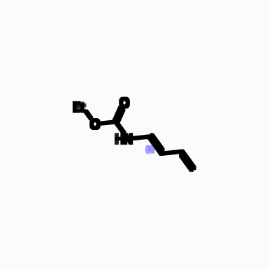 C=C/C=C/NC(=O)OCC